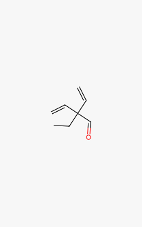 C=CC(C=C)(C=O)CC